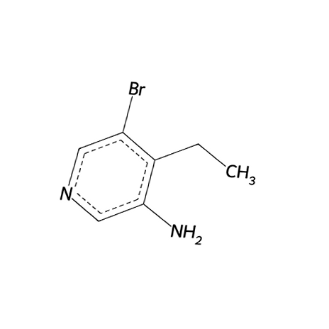 CCc1c(N)cncc1Br